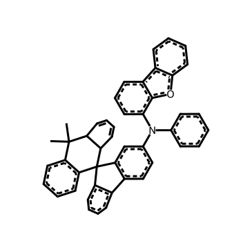 CC1(C)c2ccccc2C2(c3ccccc3-c3ccc(N(c4ccccc4)c4cccc5c4oc4ccccc45)cc32)C2C=CC=CC21